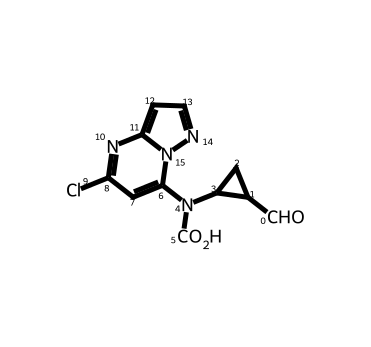 O=CC1CC1N(C(=O)O)c1cc(Cl)nc2ccnn12